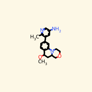 COC1CC2COCCN2c2cc(-c3cc(N)cnc3C)ccc21